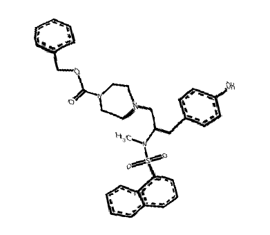 CN(C(Cc1ccc(O)cc1)CN1CCN(C(=O)OCc2ccccc2)CC1)S(=O)(=O)c1cccc2ccccc12